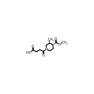 COC(=O)[C@H]1CCN(C(=O)CCC(=O)O)C[C@H]1C